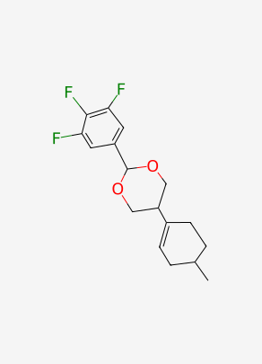 CC1CC=C(C2COC(c3cc(F)c(F)c(F)c3)OC2)CC1